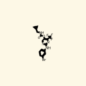 O=C(NCC1CC1)Oc1cnc(Nc2cccc(Br)c2)nc1C(F)(F)F